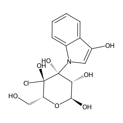 OC[C@H]1O[C@H](O)[C@@H](O)[C@](O)(n2cc(O)c3ccccc32)[C@@]1(O)Cl